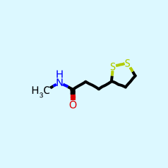 CNC(=O)CCC1CCSS1